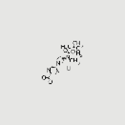 CN(C(=O)OC(C)(C)C)[C@@H]1CCN(c2cnc(C(=O)[O-])cn2)C1.[Li+]